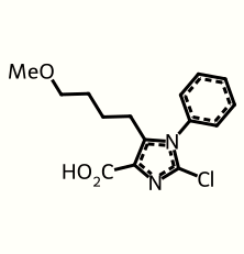 COCCCCc1c(C(=O)O)nc(Cl)n1-c1ccccc1